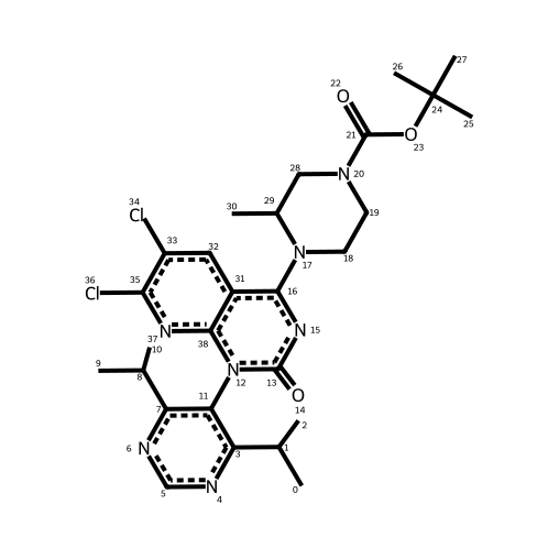 CC(C)c1ncnc(C(C)C)c1-n1c(=O)nc(N2CCN(C(=O)OC(C)(C)C)CC2C)c2cc(Cl)c(Cl)nc21